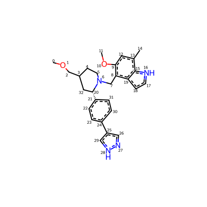 COCC1CCN(Cc2c(OC)cc(C)c3[nH]ccc23)[C@H](c2ccc(-c3cn[nH]c3)cc2)C1